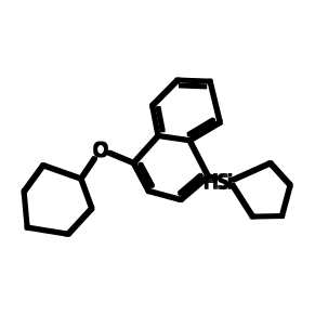 c1ccc2c([SiH]3CCCC3)ccc(OC3CCCCC3)c2c1